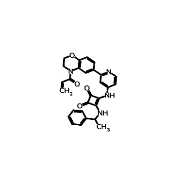 C=CC(=O)N1CCOc2ccc(-c3cc(Nc4c(NC(C)c5ccccc5)c(=O)c4=O)ccn3)cc21